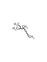 CCCCCCCC(C)CC(CC)CCC